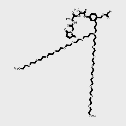 COCCOCCOCCOCCOCCOCCOCCOCCCN(CCCOCCOCCOCCOCCOCCOCCOCCOC)CCCc1cc(NC(=O)[C@H](C)NC(=O)[C@@H](NC(=O)CN2C(=O)C=CC2=O)C(C)C)ccc1COC(=O)C(C)C